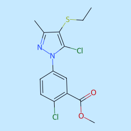 CCSc1c(C)nn(-c2ccc(Cl)c(C(=O)OC)c2)c1Cl